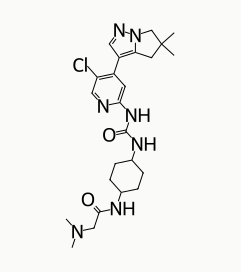 CN(C)CC(=O)NC1CCC(NC(=O)Nc2cc(-c3cnn4c3CC(C)(C)C4)c(Cl)cn2)CC1